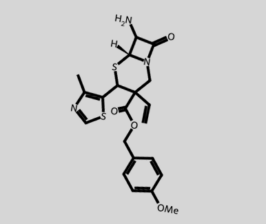 C=CC1(C(=O)OCc2ccc(OC)cc2)CN2C(=O)C(N)[C@H]2SC1c1scnc1C